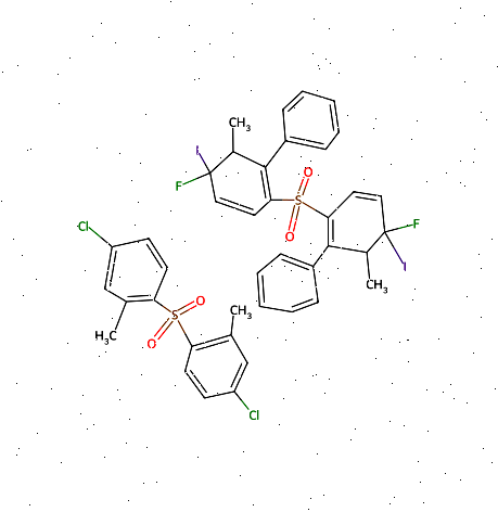 CC1C(c2ccccc2)=C(S(=O)(=O)C2=C(c3ccccc3)C(C)C(F)(I)C=C2)C=CC1(F)I.Cc1cc(Cl)ccc1S(=O)(=O)c1ccc(Cl)cc1C